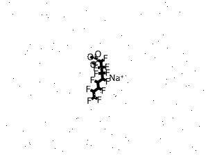 O=S(=O)([O-])C(F)C(F)(F)C(F)(F)C(F)C(F)C(F)C(F)C(F)F.[Na+]